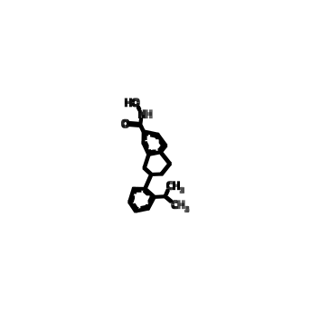 CC(C)c1ccccc1C1CCc2ccc(C(=O)NO)cc2C1